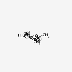 CCCCCN(C(=O)c1cn(Cc2ccc(NC(=O)OC(C)(C)C)cc2Cl)c(C)n1)[SH](=O)=O